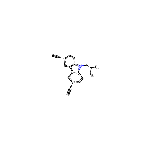 C#Cc1ccc2c(c1)c1cc(C#C)ccc1n2CC(CC)CCCC